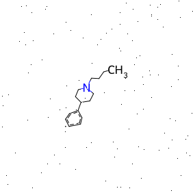 CCCCN1CCC(c2cc[c]cc2)CC1